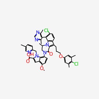 COc1ccc(N2CC(C)n3c(c(CCCOc4cc(C)c(Cl)c(C)c4)c4ccc(Cl)c(-c5c(C)ncnc5C)c43)C2=O)c2c1cc(C(=O)O)n2Cc1ccc(C)cn1